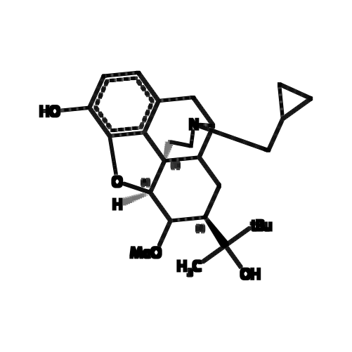 COC1[C@H](C(C)(O)C(C)(C)C)CC2C3Cc4ccc(O)c5c4[C@]2(CCN3CC2CC2)[C@@H]1O5